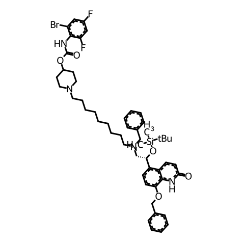 CC(C)(C)[Si](C)(C)O[C@@H](CN(CCCCCCCCCN1CCC(OC(=O)Nc2c(F)cc(F)cc2Br)CC1)Cc1ccccc1)c1ccc(OCc2ccccc2)c2[nH]c(=O)ccc12